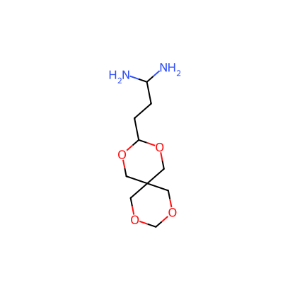 NC(N)CCC1OCC2(COCOC2)CO1